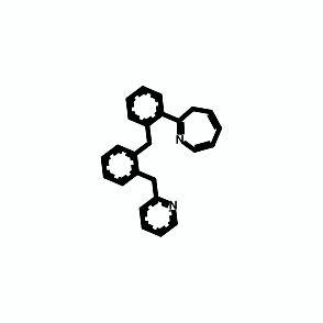 C1=CCC(c2ccccc2Cc2ccccc2Cc2ccccn2)=NC=C1